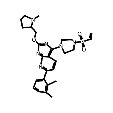 C=CS(=O)(=O)N1CCN(c2nc(OCC3CCCN3C)nc3nc(-c4cccc(C)c4C)ccc23)CC1